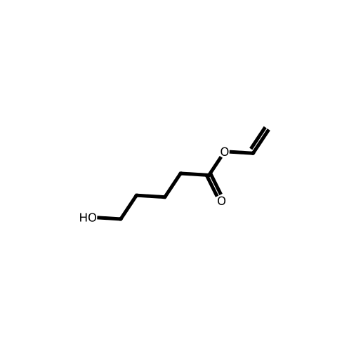 C=COC(=O)CCCCO